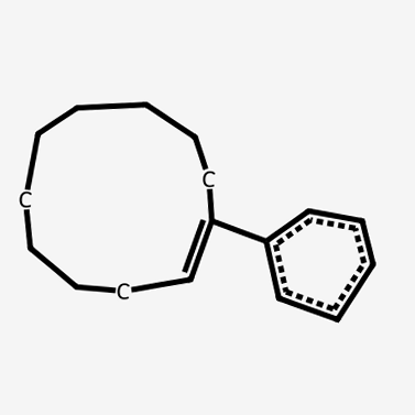 C1=C(c2ccccc2)CCCCCCCCC1